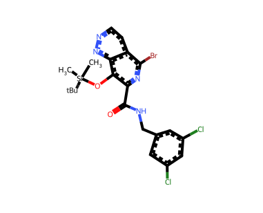 CC(C)(C)[Si](C)(C)Oc1c(C(=O)NCc2cc(Cl)cc(Cl)c2)nc(Br)c2ccnnc12